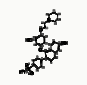 CCCS(=O)(=O)c1ccc(-c2ccc3cc(O)ccc3c2Oc2ccc(OCCN3CCCCC3)cc2)cc1.Cl